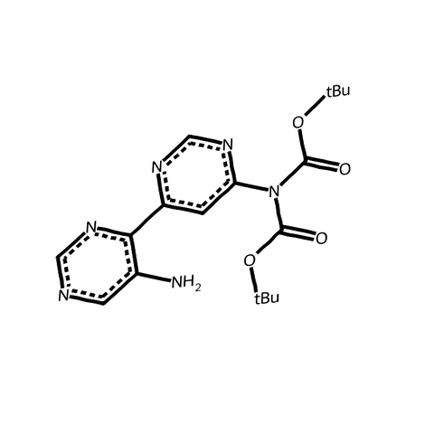 CC(C)(C)OC(=O)N(C(=O)OC(C)(C)C)c1cc(-c2ncncc2N)ncn1